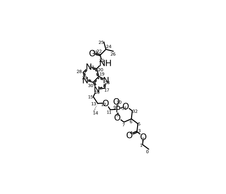 CCOC(=O)CC1COP(=O)(CO[C@H](C)Cn2cnc3c(NC(=O)C(C)C)ncnc32)OC1